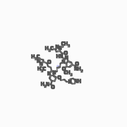 CCn1nc(C)cc1C(=O)CCc1nc2cc(C(N)=O)cc(OCCCN3CCNCC3)c2n1C/C=C/Cn1c(NC(=O)c2cc(C)nn2CC)nc2cc(C(N)=O)cc(OC)c21